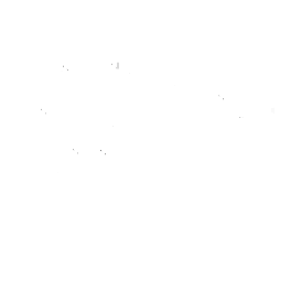 C#CCCn1nc(-c2ccc(NC(=O)O)c(F)c2)c2c(N)ncnc21